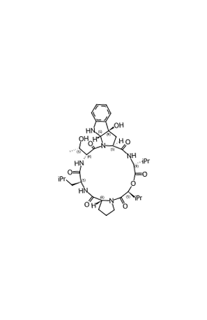 CC(C)C[C@@H]1NC(=O)[C@H]2CCCN2C(=O)[C@H](C(C)C)OC(=O)[C@@H](C(C)C)NC(=O)[C@@H]2C[C@@]3(O)c4ccccc4N[C@H]3N2C(=O)[C@@H]([C@H](C)O)NC1=O